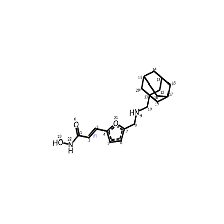 O=C(/C=C/c1ccc(CNCC23CC4CC(CC(C4)C2)C3)o1)NO